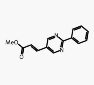 COC(=O)C=Cc1cnc(-c2ccccc2)nc1